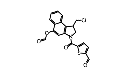 O=COc1cc2c(c3ccccc13)C(CCl)CN2C(=O)c1ccc(C=O)s1